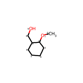 COC1CCCCC1CO